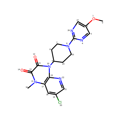 COc1cnc(N2CCC(n3c(=O)c(=O)n(C)c4cc(Cl)cnc43)CC2)nc1